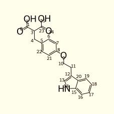 O=C(O)C(Cc1ccc(OCCc2c[nH]c3ccccc23)cc1)C(=O)O